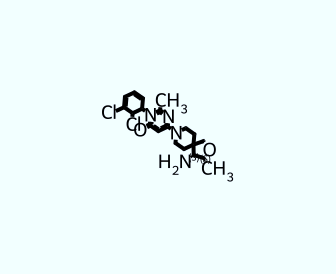 Cc1nc(N2CCC3(CC2)CO[C@@H](C)[C@H]3N)cc(=O)n1C1C=CC=C(Cl)C1Cl